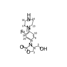 O=C1OCC(CO)N1c1ccc(N2CCNCC2)c(F)c1